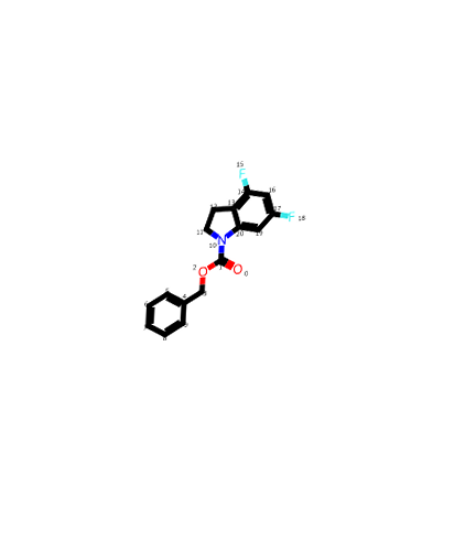 O=C(OCc1ccccc1)N1CCc2c(F)cc(F)cc21